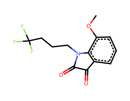 COc1cccc2c1N(CCCC(F)(F)F)C(=O)C2=O